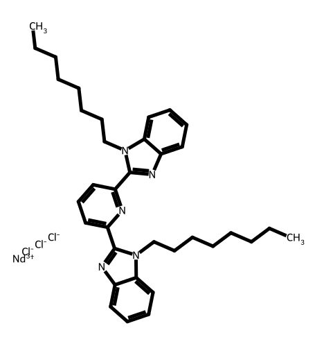 CCCCCCCCn1c(-c2cccc(-c3nc4ccccc4n3CCCCCCCC)n2)nc2ccccc21.[Cl-].[Cl-].[Cl-].[Nd+3]